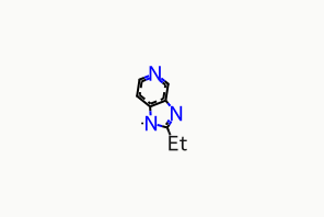 CCC1=Nc2cnccc2[N]1